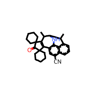 CC1C2=C(c3cc(C#N)c4cccc5c4c3NC1C5C)C1(CCCCC1)C(=O)C21CCCCC1